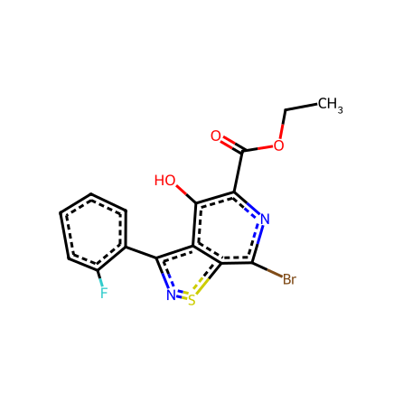 CCOC(=O)c1nc(Br)c2snc(-c3ccccc3F)c2c1O